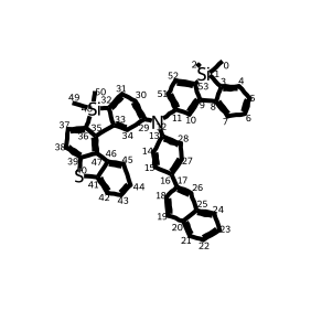 C[Si]1(C)c2ccccc2-c2cc(N(c3ccc(-c4ccc5ccccc5c4)cc3)c3ccc4c(c3)-c3c(ccc5sc6ccccc6c35)[Si]4(C)C)ccc21